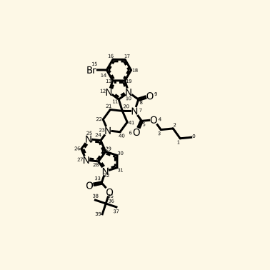 CCCCOC(=O)N1C(=O)n2c(nc3c(Br)cccc32)C12CCN(c1ncnc3c1ccn3C(=O)OC(C)(C)C)CC2